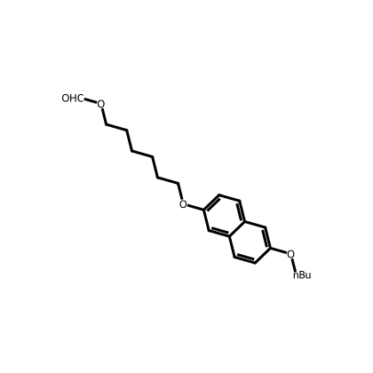 CCCCOc1ccc2cc(OCCCCCCOC=O)ccc2c1